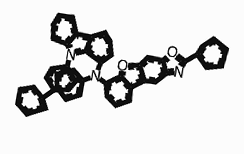 c1ccc(-c2ccc(N(c3cccc4c3oc3cc5oc(-c6ccccc6)nc5cc34)c3cccc4c5ccccc5n(-c5ccccc5)c34)cc2)cc1